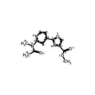 COC(=O)c1coc(-c2ccnc(N(C)C(C)=O)c2)n1